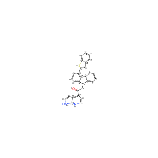 O=C(CC1c2ccccc2-c2c(-c3cc4ccccc4s3)cccc21)c1ccnc2[nH]ccc12